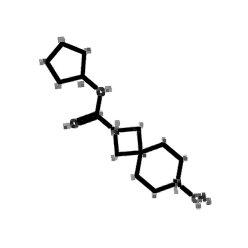 CN1CCC2(CC1)CN(C(=O)OC1CCCC1)C2